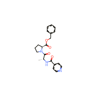 C[C@@H](NC(=O)c1ccncc1)C(=O)N1CCC[C@H]1C(=O)OCc1ccccc1